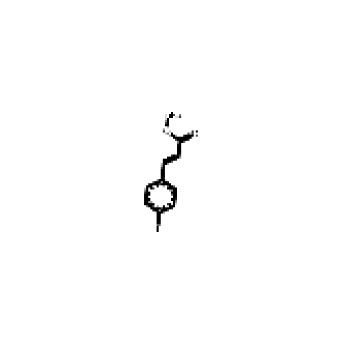 CCCCOC(=O)C=Cc1ccc(I)cc1